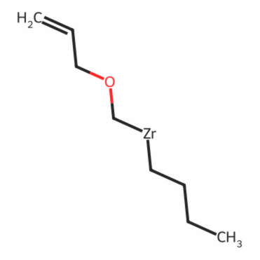 C=CCO[CH2][Zr][CH2]CCC